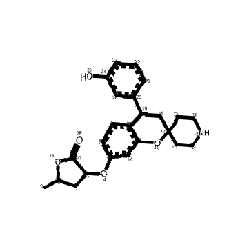 CC1CC(Oc2ccc3c(c2)OC2(CCNCC2)CC3c2cccc(O)c2)C(=O)O1